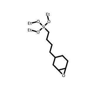 CCO[Si](CCCCC1CCC2OC2C1)(OCC)OCC